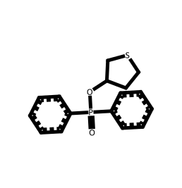 O=P(OC1CCSC1)(c1ccccc1)c1ccccc1